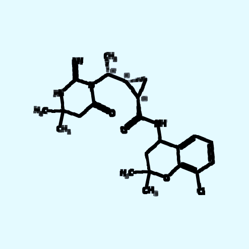 C[C@H]([C@@H]1C[C@H]1C(=O)NC1CC(C)(C)Oc2c(Cl)cccc21)N1C(=N)NC(C)(C)CC1=O